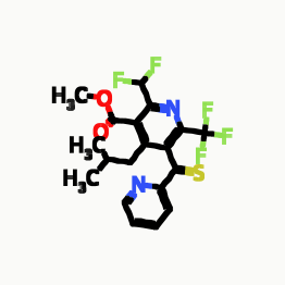 COC(=O)c1c(C(F)F)nc(C(F)(F)F)c(C(=S)c2ccccn2)c1CC(C)C